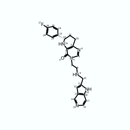 O=c1c2c(ncn1CCNCc1cc3cnccc3[nH]1)CC[C@@H](c1ccc(F)cc1)N2